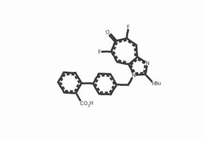 CCCCc1nc2cc(F)c(=O)c(F)cc2n1Cc1ccc(-c2ccccc2C(=O)O)cc1